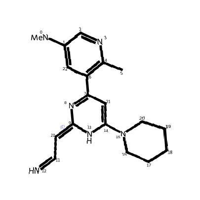 CNc1cnc(C)c(C2=N/C(=C/C=N)NC(N3CCCCC3)=C2)c1